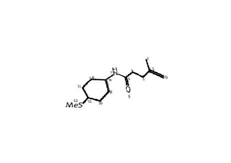 C=C(C)CCC(=O)NC1CCC(SC)CC1